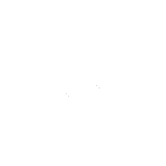 c1ccc2c(CN3CCCC3)c[nH]c2c1